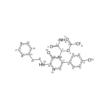 NC(=O)C(OC(=O)C(F)(F)F)n1c(-c2ccc(Cl)cc2)cnc(NCCc2ccccc2)c1=O